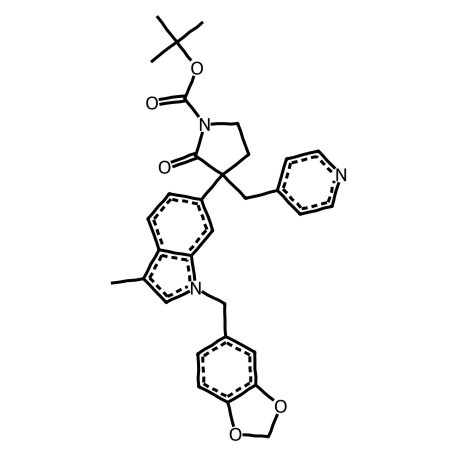 Cc1cn(Cc2ccc3c(c2)OCO3)c2cc(C3(Cc4ccncc4)CCN(C(=O)OC(C)(C)C)C3=O)ccc12